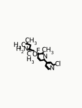 CC1=NC(c2ccnc(Cl)c2)C=CC1(F)OC[C@@](C)(N)CC(C)C